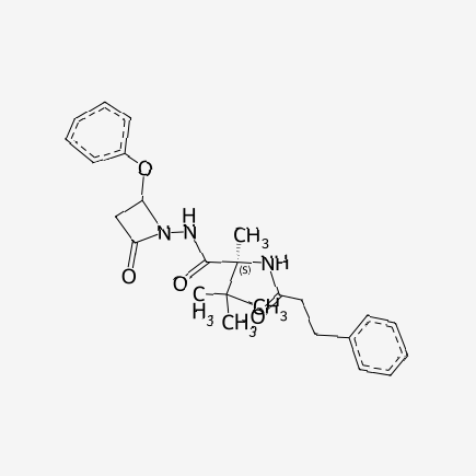 CC(C)(C)[C@](C)(NC(=O)CCc1ccccc1)C(=O)NN1C(=O)CC1Oc1ccccc1